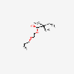 C=CCOCCOC(O)C(C)(C)CC